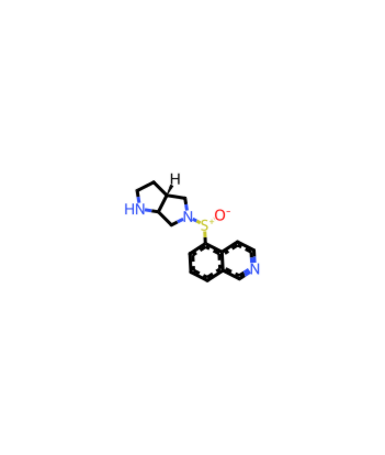 [O-][S+](c1cccc2cnccc12)N1CC2NCC[C@@H]2C1